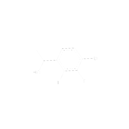 CC(O)c1ccc(Br)c(F)c1F